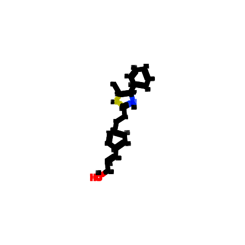 Cc1sc(CCc2ccc(C=CCO)cc2)nc1-c1ccccc1